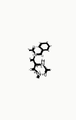 CNC(=O)C(NC(C)=O)C(C)N(CC1CCCCC1)C(C)=O